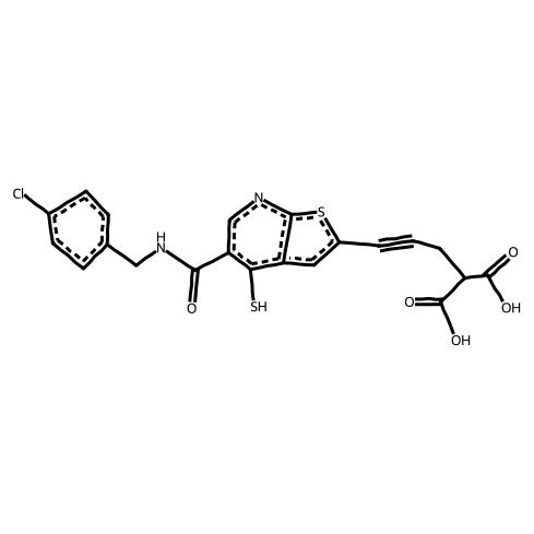 O=C(NCc1ccc(Cl)cc1)c1cnc2sc(C#CCC(C(=O)O)C(=O)O)cc2c1S